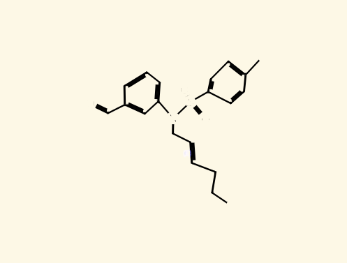 CCC/C=C/CN(c1cccc(C=O)c1)S(=O)(=O)c1ccc(C)cc1